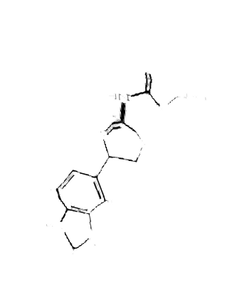 CCCCCOC(=O)NC1=NC(c2ccc3c(c2)OCO3)CN1